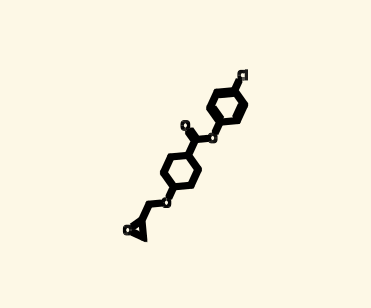 O=C(Oc1ccc(Cl)cc1)C1CCC(OCC2CO2)CC1